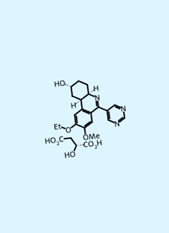 CCOc1cc2c(cc1OC)C(c1cncnc1)=N[C@@H]1CC[C@@H](O)C[C@H]21.O=C(O)C[C@@H](O)C(=O)O